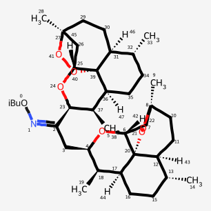 CC(C)CO/N=C(/C[C@H]1O[C@@H]2C[C@]3(C)CC[C@H]4[C@H](C)CC[C@@H]([C@H]1C)[C@@]24OO3)[C@H]1O[C@@H]2C[C@]3(C)CC[C@H]4[C@H](C)CC[C@@H]([C@H]1C)[C@@]24OO3